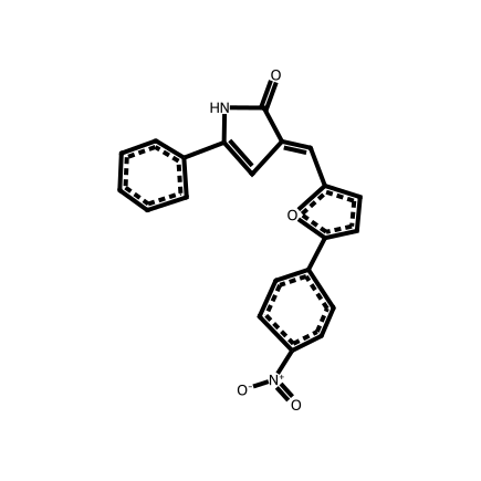 O=C1NC(c2ccccc2)=CC1=Cc1ccc(-c2ccc([N+](=O)[O-])cc2)o1